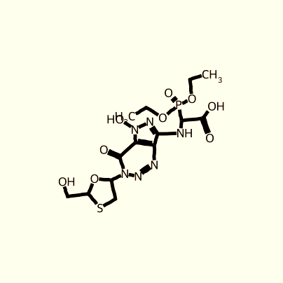 CCOP(=O)(OCC)C(Nc1nn(O)c2c(=O)n(C3CSC(CO)O3)nnc12)C(=O)O